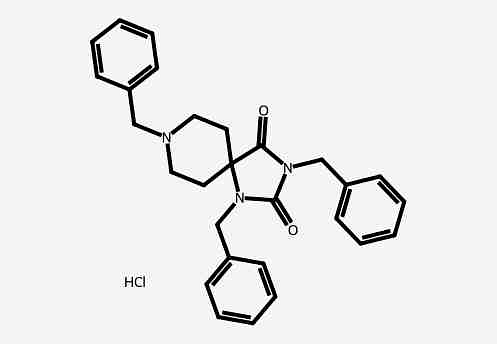 Cl.O=C1N(Cc2ccccc2)C(=O)C2(CCN(Cc3ccccc3)CC2)N1Cc1ccccc1